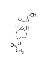 CCOC(=O)[C@H]1[C@@H]2CC[C@@H](OC(C)=O)/C=C/C[C@@H]21